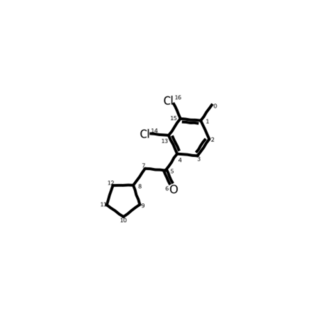 Cc1ccc(C(=O)CC2CCCC2)c(Cl)c1Cl